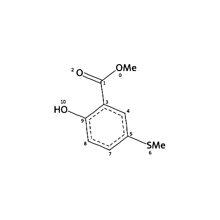 COC(=O)c1cc(SC)ccc1O